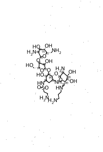 NCCCNC[C@H]1O[C@H](O[C@H]2[C@H](O[C@@H]3O[C@H](CO)[C@@H](O[C@H]4O[C@@H](CN)[C@@H](O)[C@H](O)[C@H]4N)[C@H]3O)[C@@H](O)[C@H](NS(=O)(=O)CCN)C[C@@H]2N)[C@H](N)[C@@H](O)[C@@H]1O